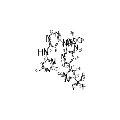 Cc1cc(Nc2cc(Nc3ncc(-c4cc(C(F)(F)F)nn4C)cc3N(C)S(C)(=O)=O)ncn2)nc(C)n1